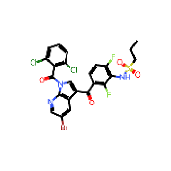 CCCS(=O)(=O)Nc1c(F)ccc(C(=O)c2cn(C(=O)c3c(Cl)cccc3Cl)c3ncc(Br)cc23)c1F